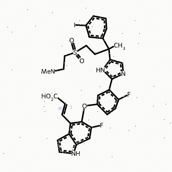 CNCCS(=O)(=O)CCC(C)(c1cccc(I)c1)c1cnc(-c2cc(Oc3c(F)cc4[nH]ccc4c3/C=C/C(=O)O)ccc2F)[nH]1